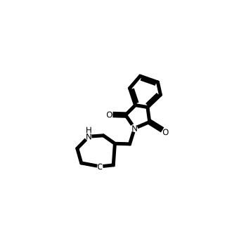 O=C1c2ccccc2C(=O)N1CC1CCCCNC1